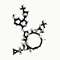 CC[C@@H]1C[C@H](C)CC/C=C\[C@@H]2C[C@@]2(C(=O)NS(=O)(=O)C2CC2)NC(=O)[C@@H]2C[C@@H](Oc3ncc(-c4nc(C(C)(C)C)cs4)c4cc(OC)ccc34)CN2C(=O)[C@H]1NC(=O)OC(C)(C)C